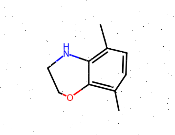 Cc1ccc(C)c2c1NCCO2